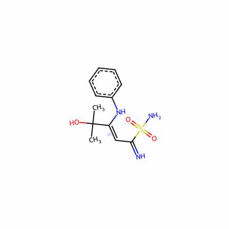 CC(C)(O)/C(=C/C(=N)S(N)(=O)=O)Nc1ccccc1